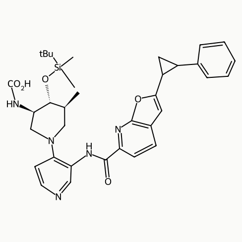 C[C@H]1CN(c2ccncc2NC(=O)c2ccc3cc(C4CC4c4ccccc4)oc3n2)C[C@@H](NC(=O)O)[C@@H]1O[Si](C)(C)C(C)(C)C